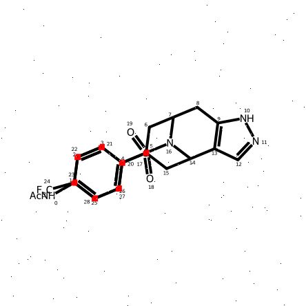 CC(=O)Nc1ccc(C2CC3Cc4[nH]ncc4C(C2)N3S(=O)(=O)c2ccc(C(F)(F)F)cc2)cc1